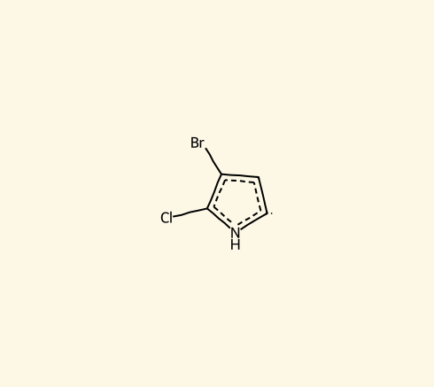 Clc1[nH][c]cc1Br